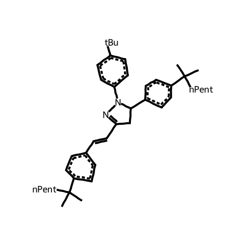 CCCCCC(C)(C)c1ccc(C=CC2=NN(c3ccc(C(C)(C)C)cc3)C(c3ccc(C(C)(C)CCCCC)cc3)C2)cc1